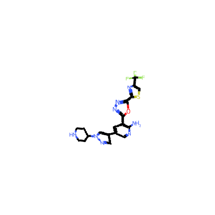 Nc1ncc(-c2cnn(C3CCNCC3)c2)cc1-c1nnc(-c2nc(C(F)(F)F)cs2)o1